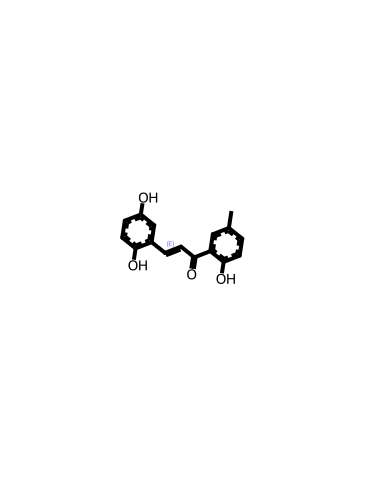 Cc1ccc(O)c(C(=O)/C=C/c2cc(O)ccc2O)c1